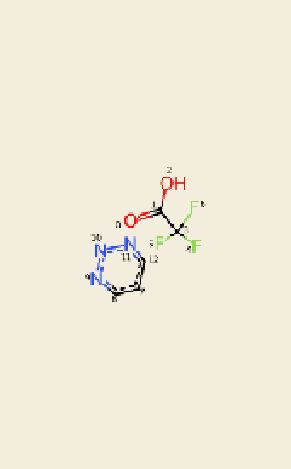 O=C(O)C(F)(F)F.c1cnnnc1